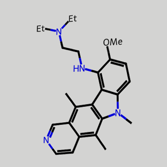 CCN(CC)CCNc1c(OC)ccc2c1c1c(C)c3cnccc3c(C)c1n2C